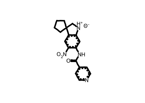 O=C(Nc1cc2c(cc1[N+](=O)[O-])C1(CCCC1)C[NH+]2[O-])c1ccncc1